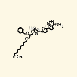 CCCCCCCCCCCCCCCCCCOC[C@H](COP(=O)(O)OC[C@@H]1CC[C@](C)(c2ccc3c(N)ncnn23)O1)OCc1ccccc1